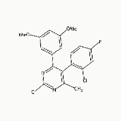 COc1cc(OC)cc(-c2nc(Cl)nc(C)c2-c2ccc(F)cc2Cl)c1